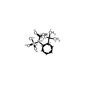 CC(C)(C)c1ccccc1N(C(=O)O)S(=O)(=O)Cl